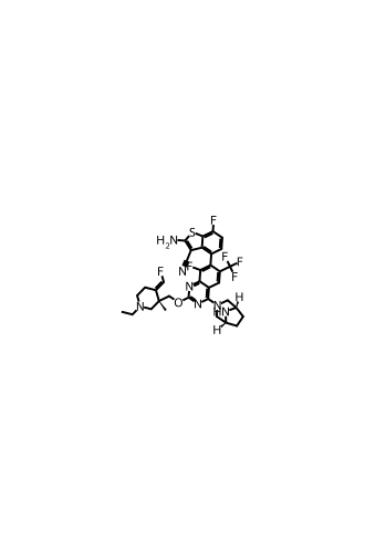 CCN1CC/C(=C\F)[C@](C)(COc2nc(N3C[C@H]4CC[C@@H](C3)N4)c3cc(C(F)(F)F)c(-c4ccc(F)c5sc(N)c(C#N)c45)c(F)c3n2)C1